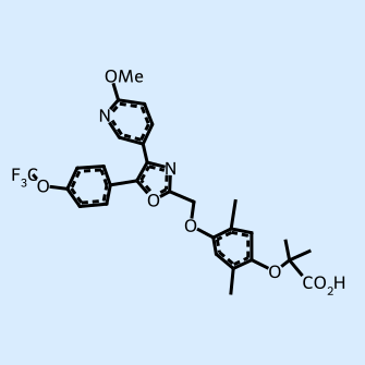 COc1ccc(-c2nc(COc3cc(C)c(OC(C)(C)C(=O)O)cc3C)oc2-c2ccc(OC(F)(F)F)cc2)cn1